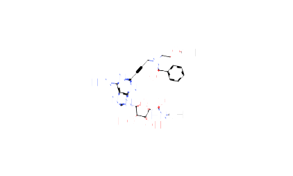 CNC(=O)[C@H]1O[C@@H](n2cnc3c(N)nc(C#CCN(CCOC)C(=O)c4ccccc4)nc32)C(O)[C@@H]1O